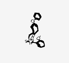 S=c1nc(-c2ccccc2Cl)[nH]n1Cc1cccc(Oc2ccccc2)c1